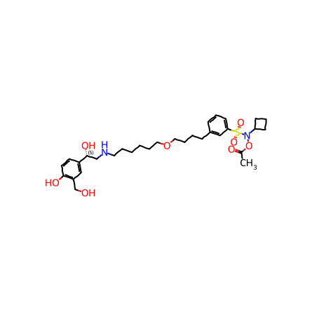 CC(=O)ON(C1CCC1)S(=O)(=O)c1cccc(CCCCOCCCCCCNC[C@@H](O)c2ccc(O)c(CO)c2)c1